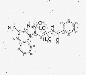 Cn1nc2c(N)nc3ccccc3c2c1CC(C)(C)NC(=O)c1ccccc1